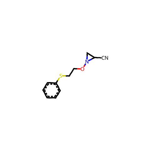 N#CC1CN1OCCSc1ccccc1